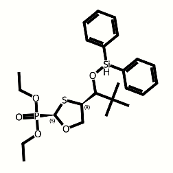 CCOP(=O)(OCC)[C@@H]1OC[C@H](C(O[SiH](c2ccccc2)c2ccccc2)C(C)(C)C)S1